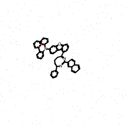 C1=CC2C=CC(C3=N/C(c4ccccc4)CCC/C(c4cccc5oc6cc(N(c7ccccc7)c7ccccc7-c7ccccc7)ccc6c45)=N\3)=CC2C=C1